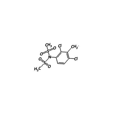 [CH2]c1c(Cl)ccc(N(S(C)(=O)=O)S(C)(=O)=O)c1Cl